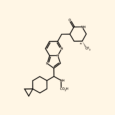 O=C(O)NC(c1cn2nc(CC3C[C@@H](C(F)(F)F)CNC3=O)ccc2n1)C1CCC2(CC1)CC2